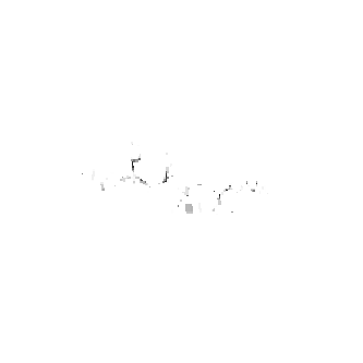 COC(=O)CN(N)C(=O)C=C(C)C